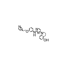 Oc1cccc2c1CCCN2c1ccnc(Nc2cccc(OCCn3ccnc3)c2)n1